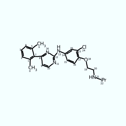 Cc1cccc(C)c1-c1ccnc(Nc2ccc(OCCNC(C)C)c(Cl)c2)n1